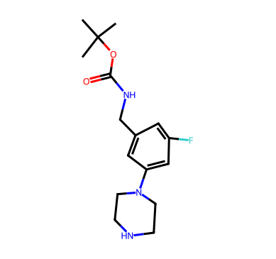 CC(C)(C)OC(=O)NCc1cc(F)cc(N2CCNCC2)c1